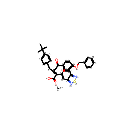 CC(C)(C)c1ccc(C/C(C(=O)c2ccc(OCc3ccccc3)cc2)=C(\C(=O)[O-])c2ccc3nsnc3c2)cc1.[Na+]